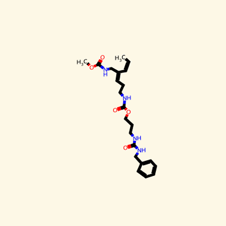 C/C=C\C(=C/CCNC(=O)OCCCNC(=O)NCc1ccccc1)CNC(=O)OC